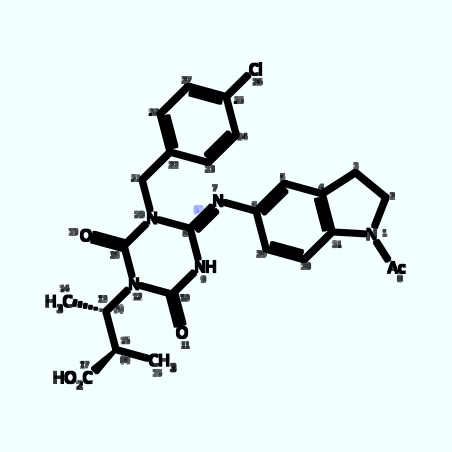 CC(=O)N1CCc2cc(/N=c3\[nH]c(=O)n([C@@H](C)[C@@H](C)C(=O)O)c(=O)n3Cc3ccc(Cl)cc3)ccc21